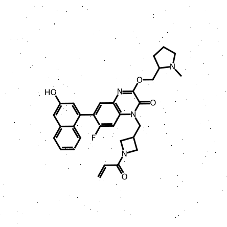 C=CC(=O)N1CC(Cn2c(=O)c(OCC3CCCN3C)nc3cc(-c4cc(O)cc5ccccc45)c(F)cc32)C1